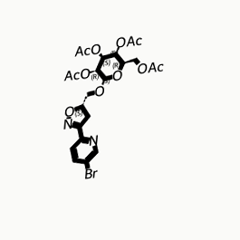 CC(=O)OC[C@H]1O[C@H](OC[C@@H]2CC(c3ccc(Br)cn3)=NO2)[C@H](OC(C)=O)[C@@H](OC(C)=O)[C@@H]1OC(C)=O